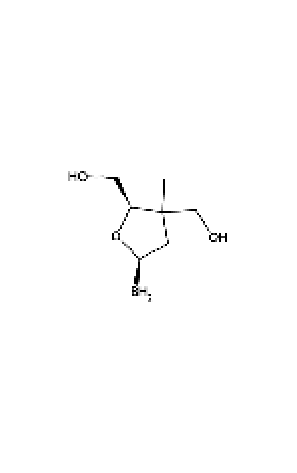 B[C@@H]1CC(C)(CO)[C@H](CO)O1